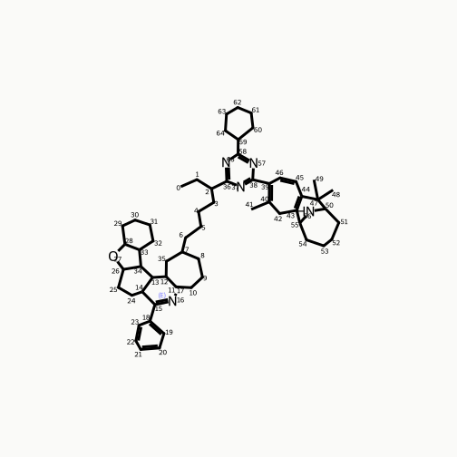 CCC(CCCCC1CCCCC(C2C(/C(=N\C)c3ccccc3)CCC3OC4CCCCC4C32)C1)c1nc(C2=C(C)CC3=C(C=C2)C(C)(C)C2CCCCC3N2)nc(C2CCCCC2)n1